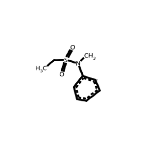 CCS(=O)(=O)N(C)c1[c]cccc1